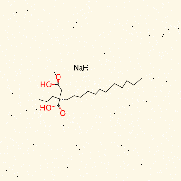 CCCCCCCCCCCCC(CCC)(CC(=O)O)C(=O)O.[NaH]